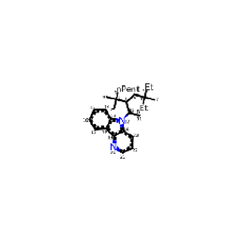 CCCCCC(C)(C)C(CC(C)(CC)CC)C(C)n1c2ccccc2c2ncccc21